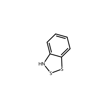 c1ccc2c(c1)NSS2